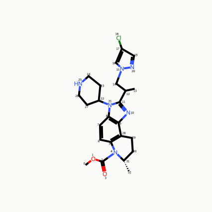 COC(=O)N1c2ccc3c(nc(C(C)Cn4cc(Cl)cn4)n3C3CCNCC3)c2CC[C@@H]1C